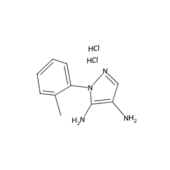 Cc1ccccc1-n1ncc(N)c1N.Cl.Cl